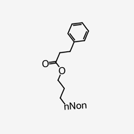 CCCCCCCCCCCCOC(=O)CCc1ccccc1